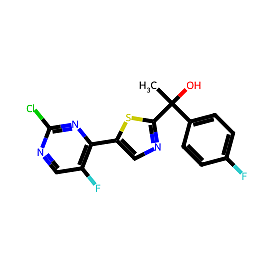 CC(O)(c1ccc(F)cc1)c1ncc(-c2nc(Cl)ncc2F)s1